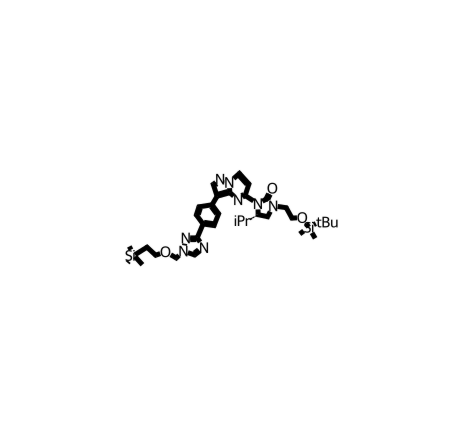 CC(C)[C@H]1CN(CCO[Si](C)(C)C(C)(C)C)C(=O)N1c1ccn2ncc(-c3ccc(-c4ncn(COCC[Si](C)(C)C)n4)cc3)c2n1